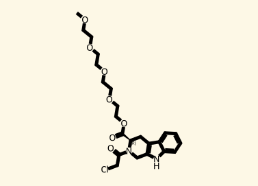 COCCOCCOCCOCCOC(=O)[C@H]1Cc2c([nH]c3ccccc23)CN1C(=O)CCl